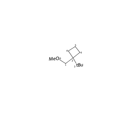 COCC1(C(C)(C)C)CCC1